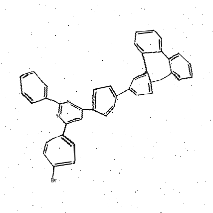 Brc1ccc(-c2cc(-c3ccc(-c4ccc5c6ccccc6c6ccccc6c5c4)cc3)nc(-c3ccccc3)n2)cc1